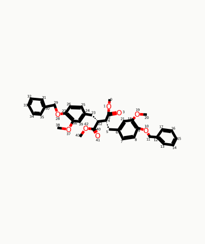 COC(=O)[C@H](Cc1ccc(OCc2ccccc2)c(OC)c1)[C@@H](Cc1ccc(OCc2ccccc2)c(OC)c1)C(=O)OC